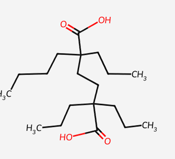 CCCCC(CCC)(CCC(CCC)(CCC)C(=O)O)C(=O)O